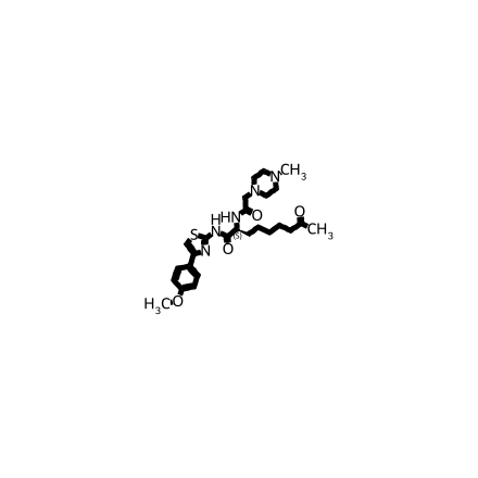 COc1ccc(-c2csc(NC(=O)[C@H](CCCCCC(C)=O)NC(=O)CN3CCN(C)CC3)n2)cc1